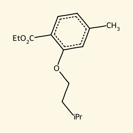 CCOC(=O)c1ccc(C)cc1OCCC(C)C